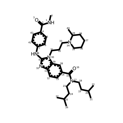 CNC(=O)c1ccc(Nc2nc3ccc(C(=O)N(CCC(C)C)CCC(C)C)cc3n2CCCN2CCCCC2C)cc1